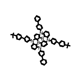 CC(C)(C)c1ccc(-c2ccc(N3c4cccc5c4B4c6c(ccc7c6B6c8c(cccc8N7c7ccc(-c8ccc(C(C)(C)C)cc8)cc7)N(c7ccc(-c8ccccc8)cc7)c7ccc3c4c76)N5c3ccc(-c4ccccc4)cc3)cc2)cc1